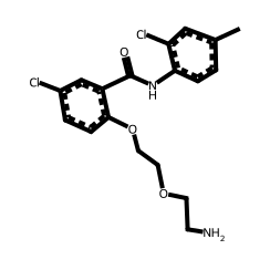 Cc1ccc(NC(=O)c2cc(Cl)ccc2OCCOCCN)c(Cl)c1